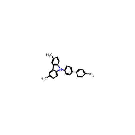 Cc1ccc2c(c1)c1cc(C)ccc1n2-c1ccc(-c2ccc([N+](=O)[O-])cc2)cc1